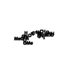 COc1cc(OC)c2c(=O)[nH]c(-c3ccc(N4CCC(CN5CC(C)N(c6cc7c(cc6F)CN(C6CCC(=O)NC6=O)C7)C(C)C5)CC4)cc3)nc2c1